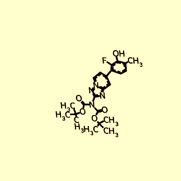 Cc1ccc(-c2ccn3nc(N(C(=O)OC(C)(C)C)C(=O)OC(C)(C)C)nc3c2)c(F)c1O